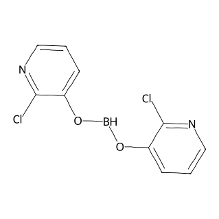 Clc1ncccc1OBOc1cccnc1Cl